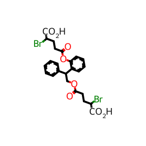 O=C(CCC(Br)C(=O)O)OCC(c1ccccc1)c1ccccc1OC(=O)CCC(Br)C(=O)O